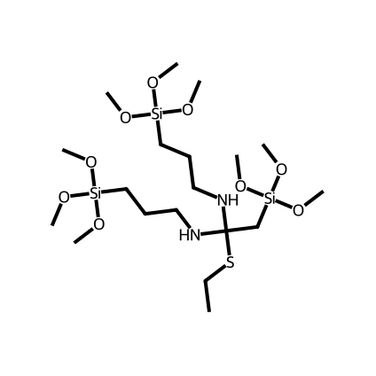 CCSC(C[Si](OC)(OC)OC)(NCCC[Si](OC)(OC)OC)NCCC[Si](OC)(OC)OC